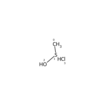 CSO.Cl